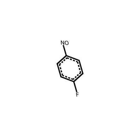 O=Nc1ccc(F)cc1